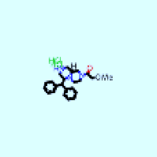 COCC(=O)N1CCN2C(C(c3ccccc3)c3ccccc3)CNC[C@@H]2C1.Cl.Cl